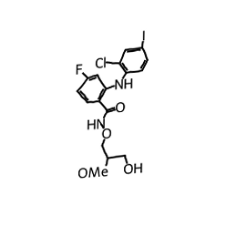 COC(CO)CONC(=O)c1ccc(F)cc1Nc1ccc(I)cc1Cl